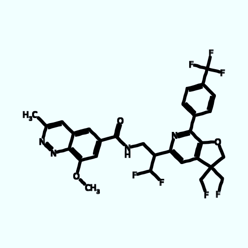 COc1cc(C(=O)NCC(c2cc3c(c(-c4ccc(C(F)(F)F)cc4)n2)OCC3(CF)CF)C(F)F)cc2cc(C)nnc12